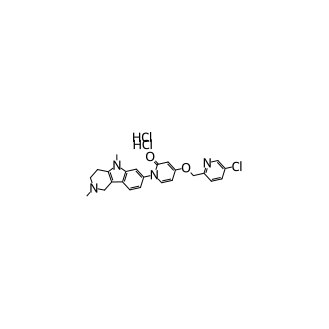 CN1CCc2c(c3ccc(-n4ccc(OCc5ccc(Cl)cn5)cc4=O)cc3n2C)C1.Cl.Cl